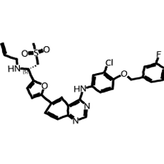 C=CCN[C@H](CS(C)(=O)=O)c1ccc(-c2ccc3ncnc(Nc4ccc(OCc5cccc(F)c5)c(Cl)c4)c3c2)o1